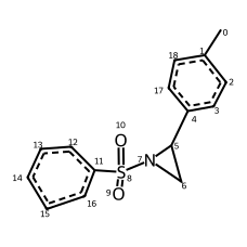 Cc1ccc(C2CN2S(=O)(=O)c2ccccc2)cc1